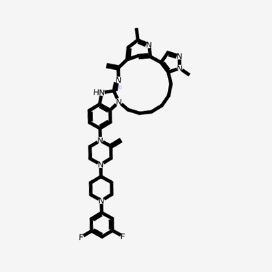 C=C1/N=C2\Nc3ccc(N4CCN(C5CCN(c6cc(F)cc(F)c6)CC5)CC4=C)cc3N2CCCCCCc2c(cnn2C)-c2cc1cc(C)n2